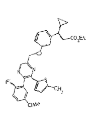 CCOC(=O)CC(c1cccc(OCc2cnc(-c3cc(OC)ccc3F)c(-c3ccc(C)s3)n2)c1)C1CC1